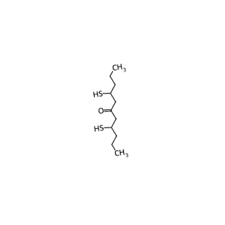 CCCC(S)CC(=O)CC(S)CCC